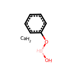 OBOc1ccccc1.[CaH2]